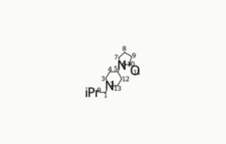 CC(C)CN1CCC(N2CCCC2=O)CC1